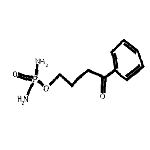 NP(N)(=O)OCCCC(=O)c1ccccc1